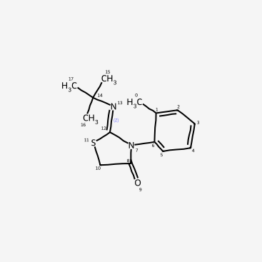 Cc1ccccc1N1C(=O)CS/C1=N\C(C)(C)C